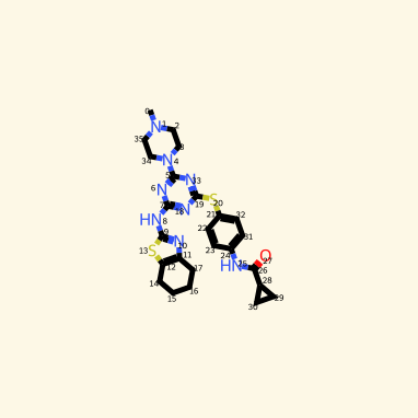 CN1CCN(c2nc(Nc3nc4c(s3)CCCC4)nc(Sc3ccc(NC(=O)C4CC4)cc3)n2)CC1